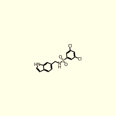 O=S(=O)(NCc1ccc2cc[nH]c2c1)c1cc(Cl)cc(Cl)c1